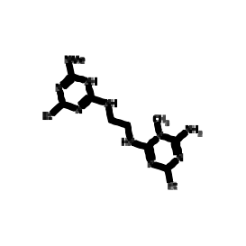 CCC1N=C(NC)NC(NCCNC2=NC(CC)N=C(N)N2C)=N1